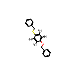 [2H]c1c([2H])c(SCc2ccccc2)c([2H])c([2H])c1OCc1ccccc1